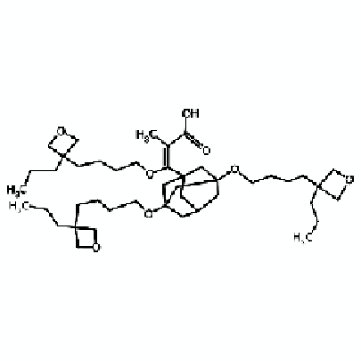 CCCC1(CCCCOC(=C(C)C(=O)O)C23CC4CC(OCCCCC5(CCC)COC5)(CC(OCCCCC5(CCC)COC5)(C4)C2)C3)COC1